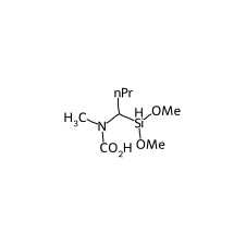 CCCC(N(C)C(=O)O)[SiH](OC)OC